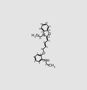 CCNc1ccccc1OC/C=C/C=C1/Oc2ccccc2N1CC